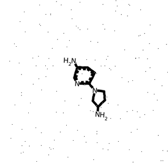 Nc1ccc(N2CCC(N)C2)nc1